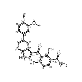 COc1cc(-c2cnc3[nH]cc(C(=O)c4c(F)ccc(C(N)=O)c4F)c3c2)ccc1F